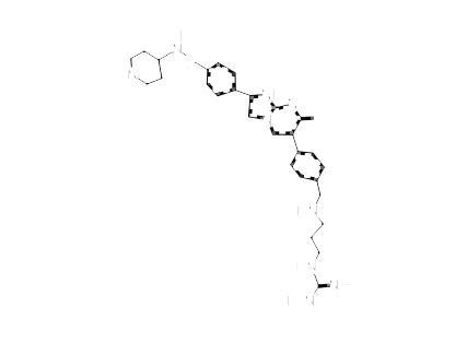 N=C(N)NCCCNCc1ccc(-c2cn3cc(-c4ccc(S(=O)(=O)NC5CCNCC5)cc4)[nH]c3nc2=O)cc1